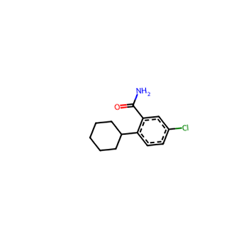 NC(=O)c1cc(Cl)ccc1C1CCCCC1